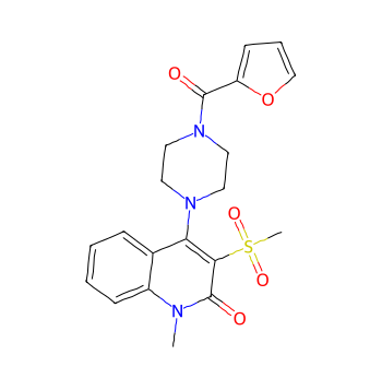 Cn1c(=O)c(S(C)(=O)=O)c(N2CCN(C(=O)c3ccco3)CC2)c2ccccc21